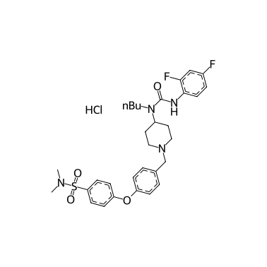 CCCCN(C(=O)Nc1ccc(F)cc1F)C1CCN(Cc2ccc(Oc3ccc(S(=O)(=O)N(C)C)cc3)cc2)CC1.Cl